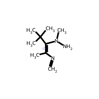 C=N/C(C)=C(\N(C)N)C(C)(C)C